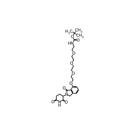 CC(C)(C)OC(=O)NCCOCCOCCOCCOc1cccc2c1C(=O)N(C1CCC(=O)NC1=O)C2